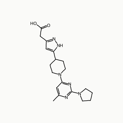 Cc1cc(N2CCC(c3cc(CC(=O)O)n[nH]3)CC2)nc(N2CCCC2)n1